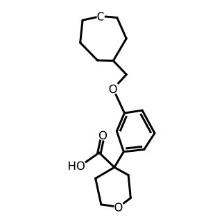 O=C(O)C1(c2cccc(OCC3CCCCCC3)c2)CCOCC1